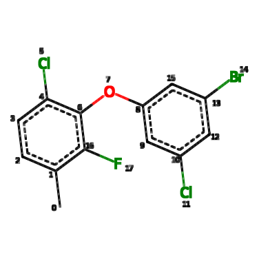 Cc1ccc(Cl)c(Oc2cc(Cl)cc(Br)c2)c1F